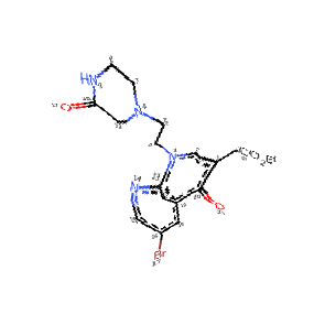 CCOC(=O)c1cn(CCN2CCNC(=O)C2)c2ncc(Br)cc2c1=O